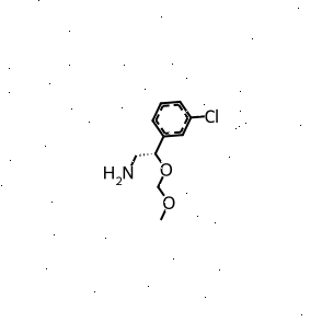 COCO[C@H](CN)c1cccc(Cl)c1